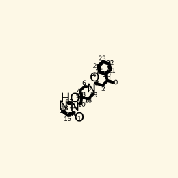 CC(CC(=O)N1CCC(O)(Cn2cnccc2=O)CC1)c1ccccc1